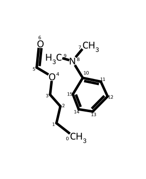 CCCCOC=O.CN(C)c1ccccc1